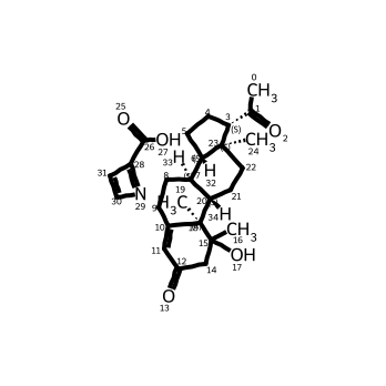 CC(=O)[C@H]1CC[C@H]2[C@@H]3CCC4=CC(=O)CC(C)(O)[C@]4(C)[C@H]3CC[C@]12C.O=C(O)C1=NC=C1